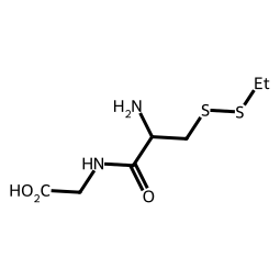 CCSSCC(N)C(=O)NCC(=O)O